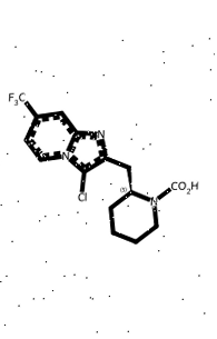 O=C(O)N1CCCC[C@H]1Cc1nc2cc(C(F)(F)F)ccn2c1Cl